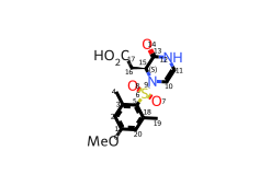 COc1cc(C)c(S(=O)(=O)N2C=CNC(=O)[C@@H]2CC(=O)O)c(C)c1